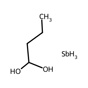 CCCC(O)O.[SbH3]